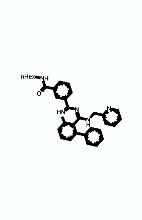 CCCCCCNC(=O)c1cccc(C(=N)/N=C(/NCc2ccccn2)c2c(C)cccc2-c2ccccc2)c1